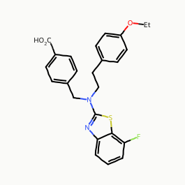 CCOc1ccc(CCN(Cc2ccc(C(=O)O)cc2)c2nc3cccc(F)c3s2)cc1